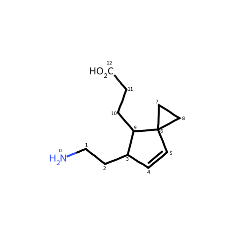 NCCC1C=CC2(CC2)C1CCC(=O)O